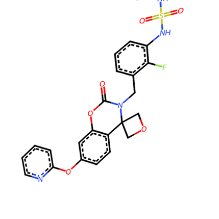 CNS(=O)(=O)Nc1cccc(CN2C(=O)Oc3cc(Oc4ccccn4)ccc3C23COC3)c1F